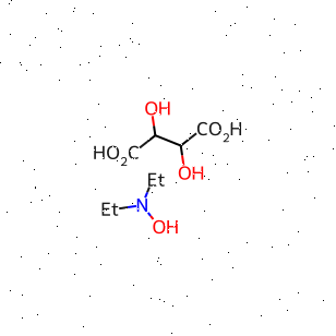 CCN(O)CC.O=C(O)C(O)C(O)C(=O)O